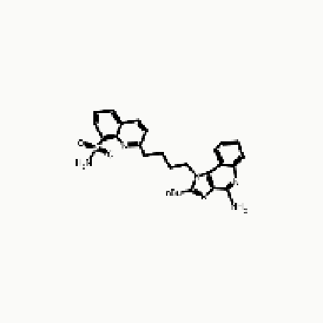 CCCCc1nc2c(N)nc3ccccc3c2n1CCCCc1ccc2cccc(S(N)(=O)=O)c2n1